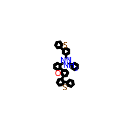 N/C(=N\C(=N/Cc1ccccc1)c1ccc2sc3ccccc3c2c1)c1cccc2oc3c(-c4cccc5sc6ccccc6c45)cccc3c12